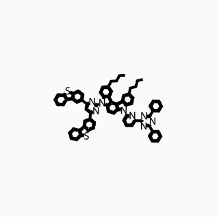 CCCCc1ccc2c(c1)c1c3c4cc(CCCC)ccc4n(-c4nc(-c5ccc6sc7ccccc7c6c5)cc(-c5ccc6sc7ccccc7c6c5)n4)c3ccc1n2-c1cccc(-c2nc(-c3ccccc3)nc(-c3ccccc3)n2)n1